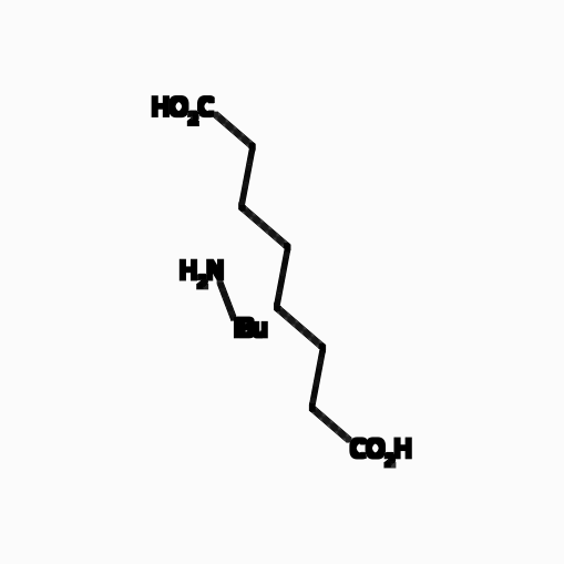 CCC(C)N.O=C(O)CCCCCCC(=O)O